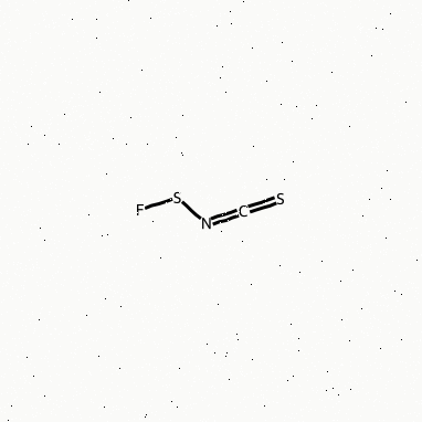 FSN=C=S